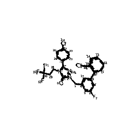 O=c1n(Cc2cc(F)cc(-c3ccccc3Cl)c2)nc(-c2ccc(Cl)cc2)n1CCC(F)(F)F